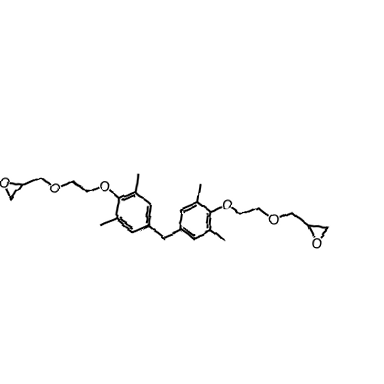 Cc1cc(Cc2cc(C)c(OCCOCC3CO3)c(C)c2)cc(C)c1OCCOCC1CO1